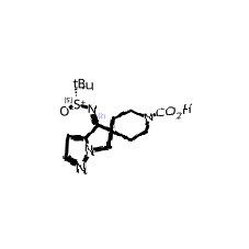 CC(C)(C)[S@@+]([O-])/N=C1\c2ccnn2CC12CCN(C(=O)O)CC2